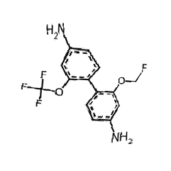 Nc1ccc(-c2ccc(N)cc2OC(F)(F)F)c(OCF)c1